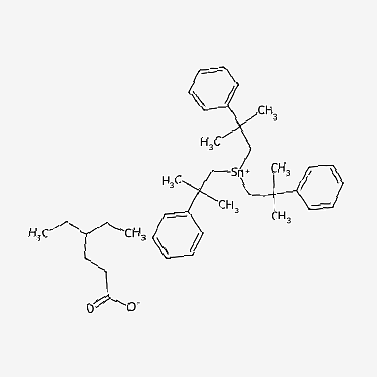 CC(C)([CH2][Sn+]([CH2]C(C)(C)c1ccccc1)[CH2]C(C)(C)c1ccccc1)c1ccccc1.CCC(CC)CCC(=O)[O-]